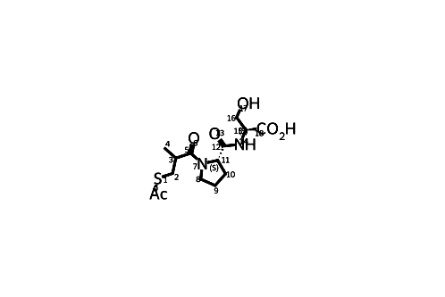 CC(=O)SCC(C)C(=O)N1CCC[C@H]1C(=O)N[C@@H](CO)C(=O)O